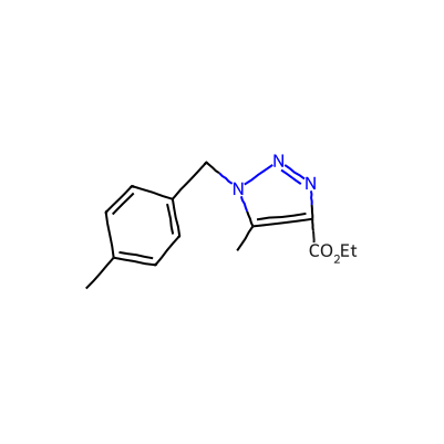 CCOC(=O)c1nnn(Cc2ccc(C)cc2)c1C